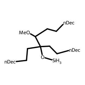 CCCCCCCCCCCCC(OC)C(CCCCCCCCCCCC)(CCCCCCCCCCCC)O[SiH3]